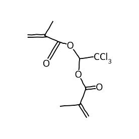 C=C(C)C(=O)OC(OC(=O)C(=C)C)C(Cl)(Cl)Cl